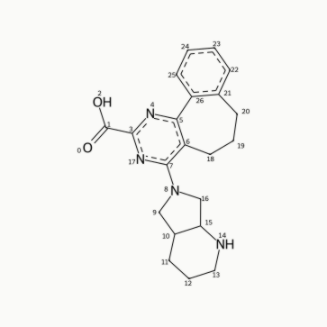 O=C(O)c1nc2c(c(N3CC4CCCNC4C3)n1)CCCc1ccccc1-2